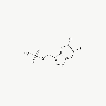 CS(=O)(=O)OCc1coc2cc(F)c(Cl)cc12